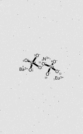 [Ba+2].[Eu+3].[N+3].[O-][Si]([O-])([O-])[O-].[O-][Si]([O-])([O-])[O-]